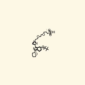 C[C@@H](COCCOCCn1ccc(-c2nn(C3CCCCO3)c3ccc(O[Si](C)(C)C(C)(C)C)cc23)n1)CS(=O)(=O)O